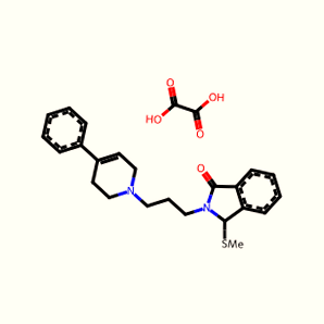 CSC1c2ccccc2C(=O)N1CCCN1CC=C(c2ccccc2)CC1.O=C(O)C(=O)O